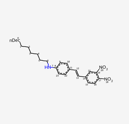 CCCCCCCCCCCCCCCCNc1ccc(C=Cc2ccc([N+](=O)[O-])c([N+](=O)[O-])c2)cc1